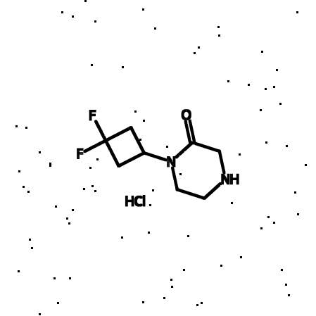 Cl.O=C1CNCCN1C1CC(F)(F)C1